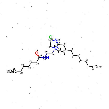 CCCCCCCCCCCCCCCCCCC1=NCC[N+]1(C)CCNC(=O)CCCCCCCCCCCCCCC.[Cl-]